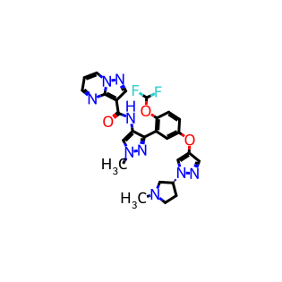 CN1CC[C@@H](n2cc(Oc3ccc(OC(F)F)c(-c4nn(C)cc4NC(=O)c4cnn5cccnc45)c3)cn2)C1